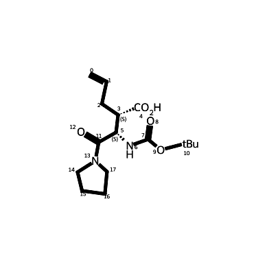 C=CC[C@H](C(=O)O)[C@H](NC(=O)OC(C)(C)C)C(=O)N1CCCC1